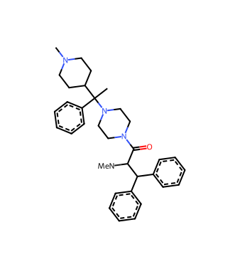 CNC(C(=O)N1CCN(C(C)(c2ccccc2)C2CCN(C)CC2)CC1)C(c1ccccc1)c1ccccc1